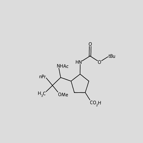 CCCC(C)(OC)C(NC(C)=O)C1CC(C(=O)O)CC1NC(=O)OC(C)(C)C